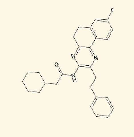 O=C(CC1CCCCC1)Nc1nc2c(nc1CCc1ccccc1)-c1ccc(F)cc1CC2